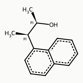 C[C@H](c1cccc2ccccc12)[C@@H](C)O